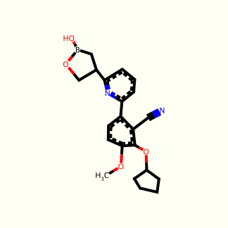 COc1ccc(-c2cccc(C3COB(O)C3)n2)c(C#N)c1OC1CCCC1